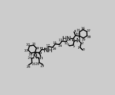 CCCN(CCC)C1(C(C)CNCCCCCCNCC(C)C2(N(CCC)CCC)CCCCC2)CCCCC1